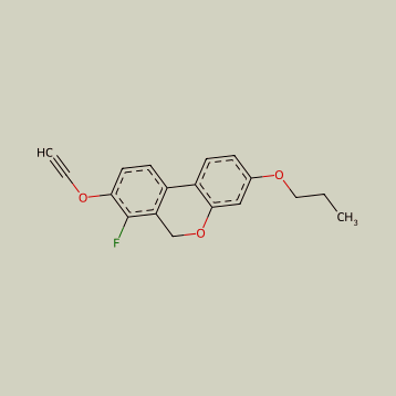 C#COc1ccc2c(c1F)COc1cc(OCCC)ccc1-2